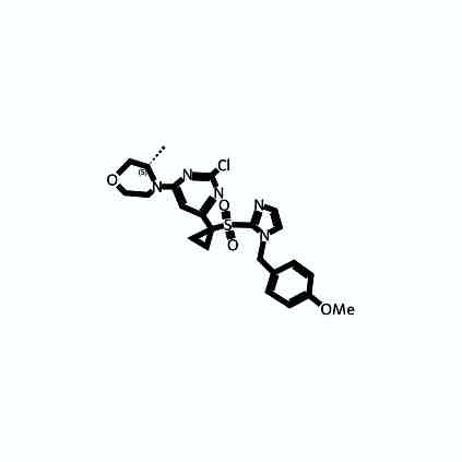 COc1ccc(Cn2ccnc2S(=O)(=O)C2(c3cc(N4CCOC[C@@H]4C)nc(Cl)n3)CC2)cc1